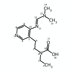 CCN(CCc1cnccc1N=CN(C)C)C(=O)O